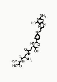 Nc1nc(O)c2nc(CNc3ccc(C(=O)N[C@H](CCC(=O)NC[C@H](N)C(=O)N[C@@H](CS)C(=O)O)C(=O)O)cc3)cnc2n1